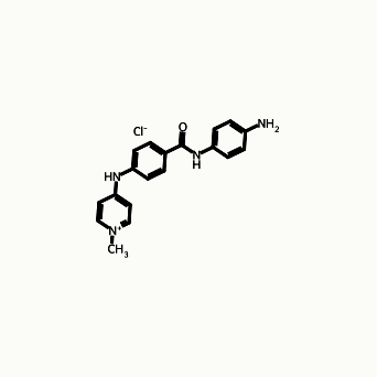 C[n+]1ccc(Nc2ccc(C(=O)Nc3ccc(N)cc3)cc2)cc1.[Cl-]